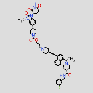 CC(c1ccc(C#CC2CCN(CCCOC(=O)N3CCC(c4ccc5c(c4)n(C)c(=O)n5C4CCC(=O)NC4=O)CC3)CC2)c2ccccc12)N1CCC(C(=O)NCc2cccc(F)c2)CC1